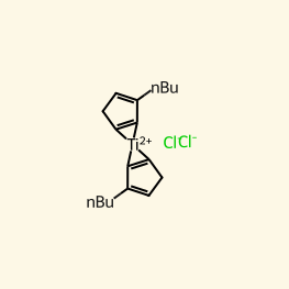 CCCCC1=CC[C]2=[C]1[Ti+2]21[C]2=[C]1C(CCCC)=CC2.[Cl-].[Cl-]